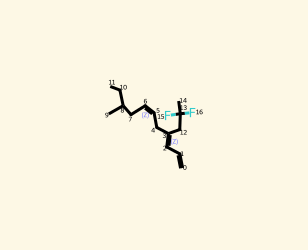 C=C/C=C(/C/C=C\CC(C)CC)CC(C)(F)F